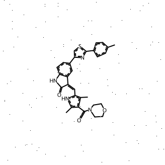 Cc1ccc(-c2nc(-c3ccc4c(c3)/C(=C/c3[nH]c(C)c(C(=O)N5CCOCC5)c3C)C(=O)N4)cs2)cc1